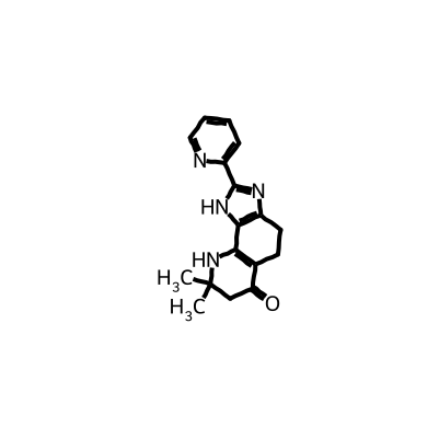 CC1(C)CC(=O)C2=C(N1)c1[nH]c(-c3ccccn3)nc1CC2